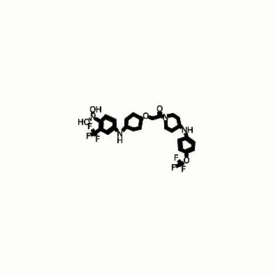 O=C(COC1CCC(Nc2ccc(N(O)O)c(C(F)(F)F)c2)CC1)N1CCC(Nc2ccc(OC(F)(F)F)cc2)CC1